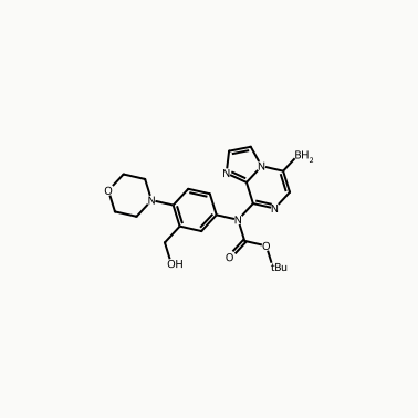 Bc1cnc(N(C(=O)OC(C)(C)C)c2ccc(N3CCOCC3)c(CO)c2)c2nccn12